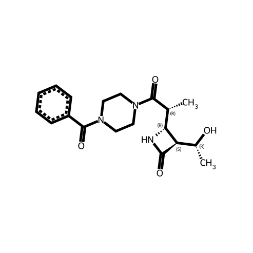 C[C@@H](O)[C@H]1C(=O)N[C@@H]1[C@@H](C)C(=O)N1CCN(C(=O)c2ccccc2)CC1